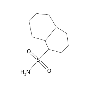 NS(=O)(=O)C1CCCC2CCCCC21